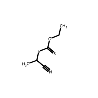 CCOC(=S)SC(C)C#N